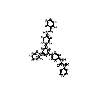 O=C(Nc1ccncc1)Nc1ccc(-c2nc(N3CCC(NCc4ccccc4)CC3)nc(N3CC4CCC(C3)O4)n2)cc1